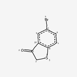 O=C1CSc2ccc(Br)cc21